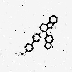 COc1ccc(-c2cnc(N3CCc4c([nH]c5ccccc45)C3c3ccc4c(c3)CCO4)nc2)cc1